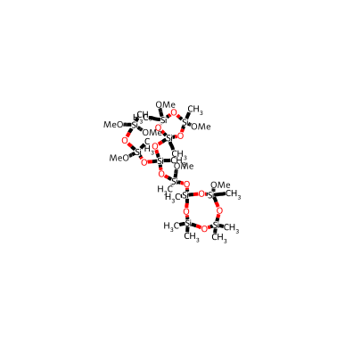 CO[Si](C)(OC)O[Si](C)(OC)O[Si](C)(O[Si](C)(OC)O[Si]1(C)O[Si](C)(C)O[Si](C)(C)O[Si](C)(OC)O1)O[Si]1(C)O[Si](C)(OC)O[Si](C)(OC)O1